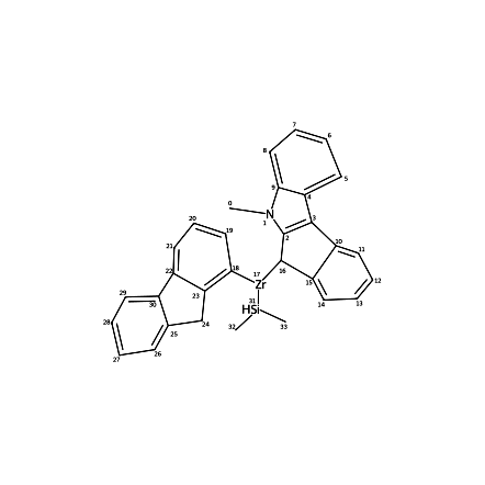 Cn1c2c(c3ccccc31)-c1ccccc1[CH]2[Zr]([c]1cccc2c1Cc1ccccc1-2)[SiH](C)C